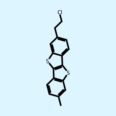 Cc1ccc2c(c1)sc1c3ccc(CCCl)cc3sc21